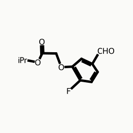 CC(C)OC(=O)COc1cc(C=O)ccc1F